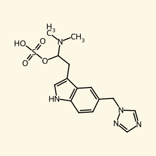 CN(C)C(Cc1c[nH]c2ccc(Cn3cncn3)cc12)OS(=O)(=O)O